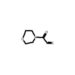 O=C(C=S)N1CCOCC1